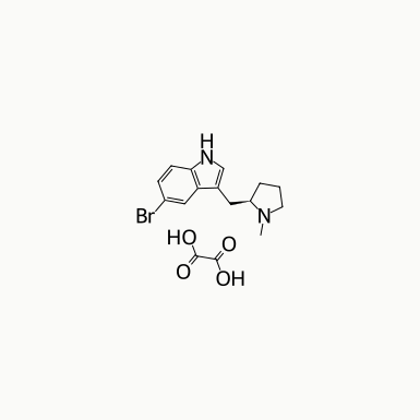 CN1CCC[C@@H]1Cc1c[nH]c2ccc(Br)cc12.O=C(O)C(=O)O